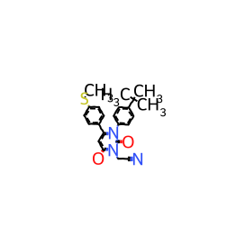 CSc1ccc(-c2cc(=O)n(CC#N)c(=O)n2-c2ccc(C(C)(C)C)cc2)cc1